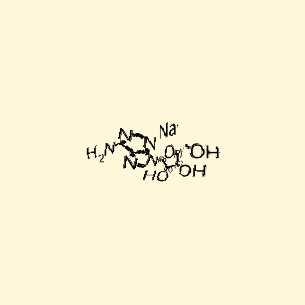 Nc1ncnc2c1ncn2[C@@H]1O[C@H](CO)[C@@H](O)[C@H]1O.[Na]